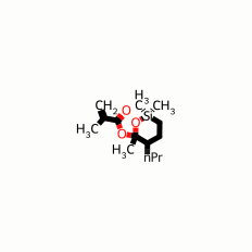 C=C(C)C(=O)OC1(C)O[Si](C)(C)CCC1CCC